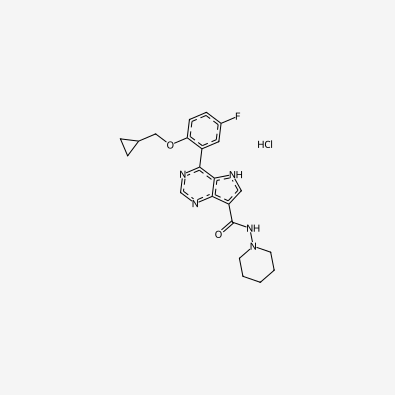 Cl.O=C(NN1CCCCC1)c1c[nH]c2c(-c3cc(F)ccc3OCC3CC3)ncnc12